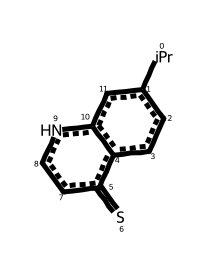 CC(C)c1ccc2c(=S)cc[nH]c2c1